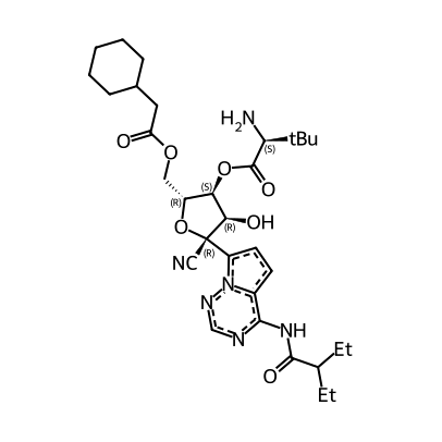 CCC(CC)C(=O)Nc1ncnn2c([C@]3(C#N)O[C@H](COC(=O)CC4CCCCC4)[C@@H](OC(=O)[C@@H](N)C(C)(C)C)[C@H]3O)ccc12